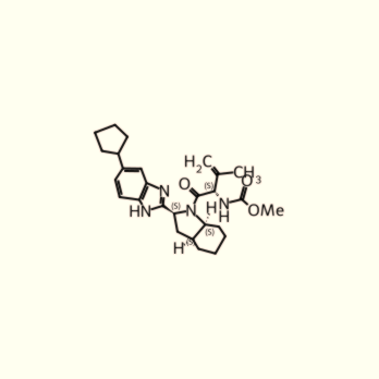 C=C(C)[C@H](NC(=O)OC)C(=O)N1[C@H](c2nc3cc(C4CCCC4)ccc3[nH]2)C[C@@H]2CCCC[C@@H]21